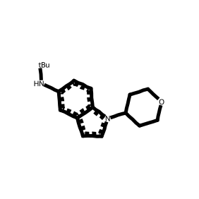 CC(C)(C)Nc1ccc2c(ccn2C2CCOCC2)c1